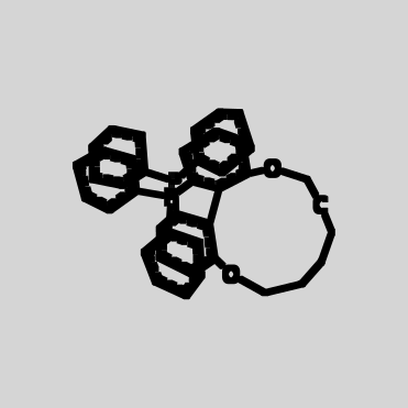 c1ccc(P(c2ccccc2)c2cccc3c2-c2c(cccc2P(c2ccccc2)c2ccccc2)OCCCCCCO3)cc1